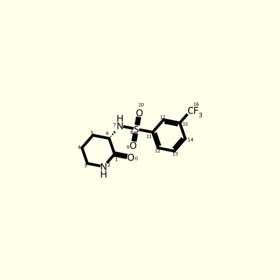 O=C1NCCC[C@@H]1NS(=O)(=O)c1cccc(C(F)(F)F)c1